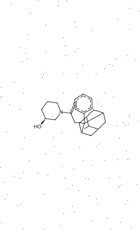 CC1C2CC3CC1CC(C2)C3(CC(=O)N1CCC[C@H](O)C1)c1ccccc1